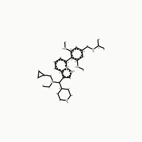 CCN(CC1CC1)C(c1cnn2c(-c3c(OC)cc(COC(C)C)cc3OC)cccc12)C1CCOCC1